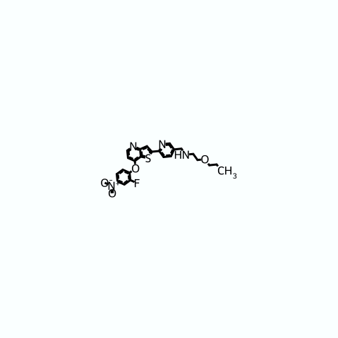 CCCOCCNCc1ccc(-c2cc3nccc(Oc4ccc([N+](=O)[O-])cc4F)c3s2)nc1